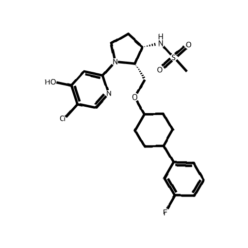 CS(=O)(=O)N[C@H]1CCN(c2cc(O)c(Cl)cn2)[C@H]1COC1CCC(c2cccc(F)c2)CC1